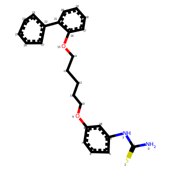 NC(=S)Nc1cccc(OCCCCCOc2ccccc2-c2ccccc2)c1